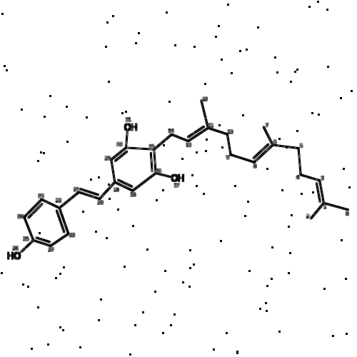 CC(C)=CCC/C(C)=C/CC/C(C)=C/Cc1c(O)cc(/C=C/c2ccc(O)cc2)cc1O